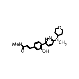 CNC(=O)/C=C/c1ccc(-c2ccc(N(C)C3CCOCC3)nn2)c(O)c1